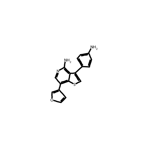 Nc1ccc(-c2csc3c(-c4ccoc4)cnc(N)c23)cc1